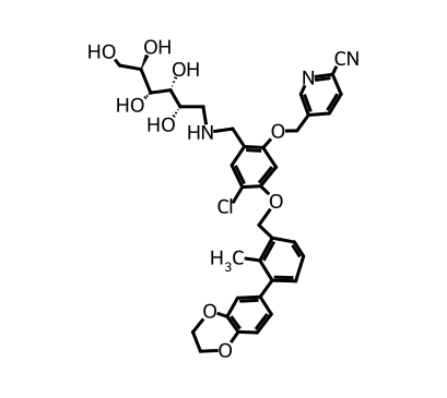 Cc1c(COc2cc(OCc3ccc(C#N)nc3)c(CNC[C@H](O)[C@@H](O)[C@H](O)[C@H](O)CO)cc2Cl)cccc1-c1ccc2c(c1)OCCO2